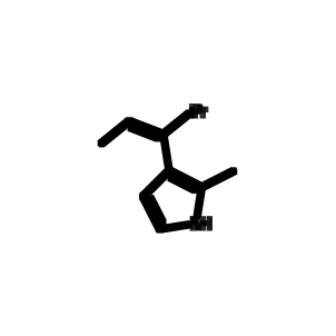 C/C=C(\c1cc[nH]c1C)C(C)C